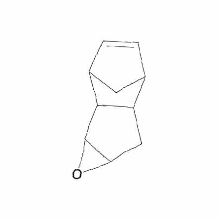 C1=CC2CC1C1CC3OC3C21